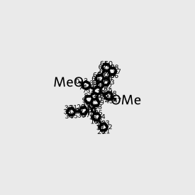 COc1ccc(-c2c3c4cccc5c(N(c6ccc(-c7ccccc7)cc6)c6ccc(-c7ccccc7)cc6)ccc(c3c(-c3ccc(OC)cc3)c3c6ccc7c8cccc9cccc(c%10ccc(c23)c6c%107)c98)c54)cc1